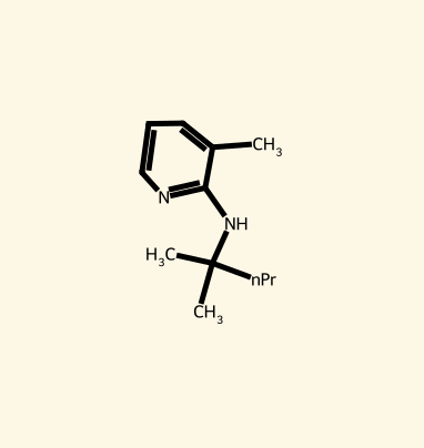 CCCC(C)(C)Nc1ncccc1C